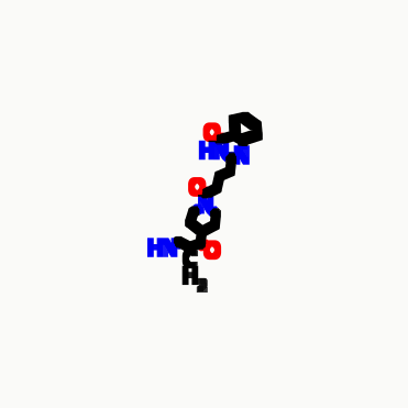 C=C(C=N)C(=O)C1CCN(C(=O)CCCc2nc3ccccc3c(=O)[nH]2)CC1